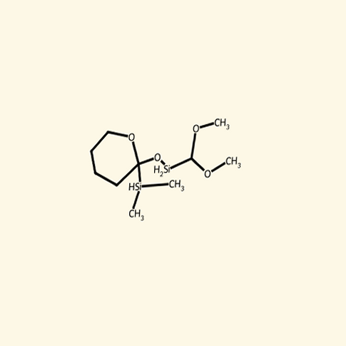 COC(OC)[SiH2]OC1([SiH](C)C)CCCCO1